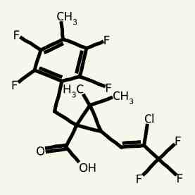 Cc1c(F)c(F)c(CC2(C(=O)O)C(C=C(Cl)C(F)(F)F)C2(C)C)c(F)c1F